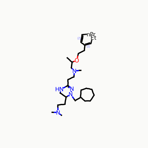 CC/C=C(\C=C/CCC)CCOC(C)CN(C)CCC1=NN(CC2CCCCCC2)C(CCN(C)C)CN1